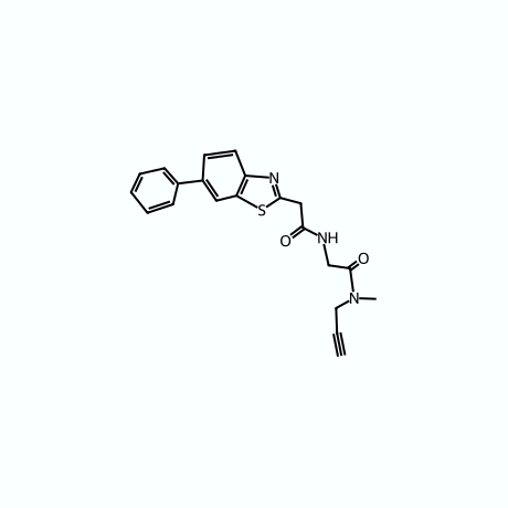 C#CCN(C)C(=O)CNC(=O)Cc1nc2ccc(-c3ccccc3)cc2s1